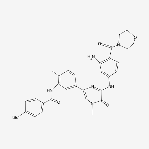 Cc1ccc(-c2cn(C)c(=O)c(Nc3ccc(C(=O)N4CCOCC4)c(N)c3)n2)cc1NC(=O)c1ccc(C(C)(C)C)cc1